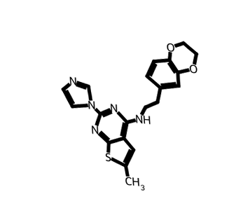 Cc1cc2c(NCCc3ccc4c(c3)OCCO4)nc(-n3ccnc3)nc2s1